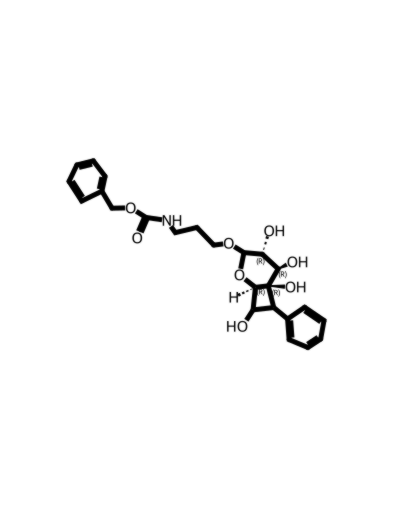 O=C(NCCCOC1O[C@@H]2C(O)C(c3ccccc3)[C@@]2(O)[C@H](O)[C@H]1O)OCc1ccccc1